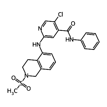 CS(=O)(=O)N1CCc2c(cccc2Nc2cc(C(=O)Nc3ccccc3)c(Cl)cn2)C1